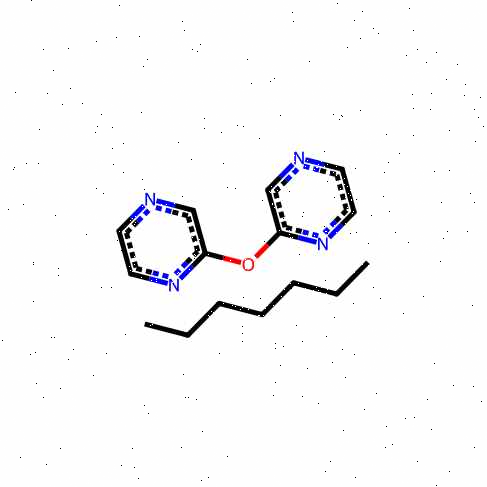 CCCCCCC.c1cnc(Oc2cnccn2)cn1